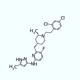 Cc1cc(Nc2ccc(F)c(C[C@@H]3CCN(CCc4ccc(Cl)cc4Cl)[C@H](C)C3)n2)n[nH]1